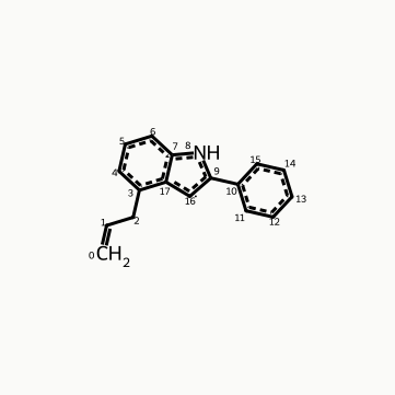 C=CCc1cccc2[nH]c(-c3ccccc3)[c]c12